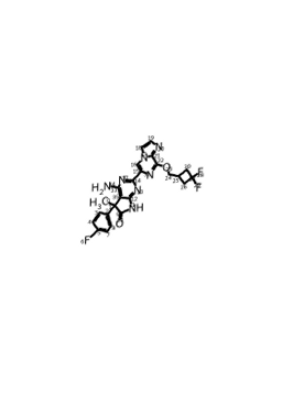 CC1(c2ccc(F)cc2)C(=O)Nc2nc(-c3cn4ccnc4c(OCC4CC(F)(F)C4)n3)nc(N)c21